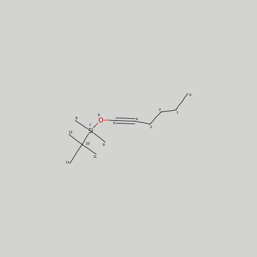 CCCCC#CO[Si](C)(C)C(C)(C)C